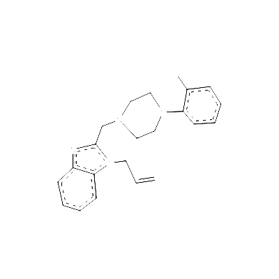 C=CCn1c(CN2CCN(c3ccccc3C)CC2)nc2ccccc21